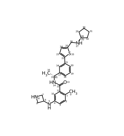 Cc1ccc(NC2CNC2)cc1C(=O)N[C@H](C)c1cccc(-c2ccc(CN[C@H]3C[CH]CC3)s2)c1